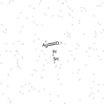 [In].[O]=[Ag].[Sn]